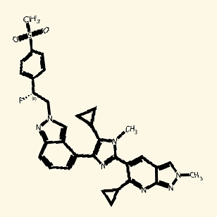 Cn1cc2cc(-c3nc(-c4cccc5nn(C[C@H](F)c6ccc(S(C)(=O)=O)cc6)cc45)c(C4CC4)n3C)c(C3CC3)nc2n1